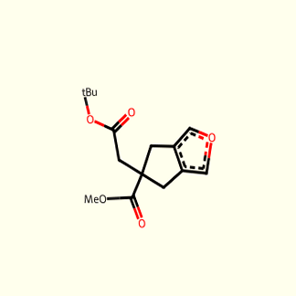 COC(=O)C1(CC(=O)OC(C)(C)C)Cc2cocc2C1